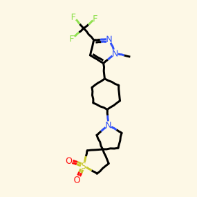 Cn1nc(C(F)(F)F)cc1C1CCC(N2CCC3(CCS(=O)(=O)C3)C2)CC1